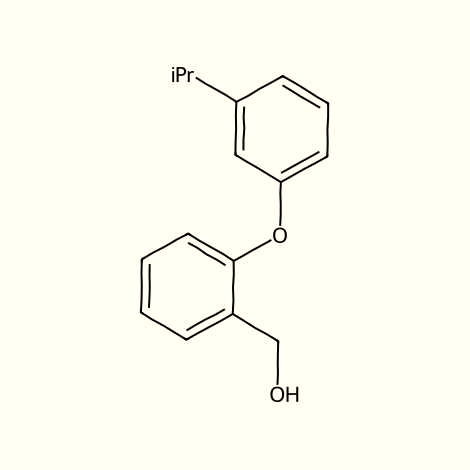 CC(C)c1cccc(Oc2ccccc2CO)c1